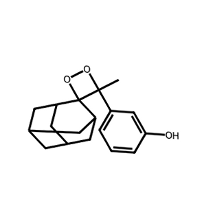 CC1(c2cccc(O)c2)OOC12C1CC3CC(C1)CC2C3